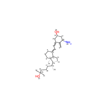 C=C1/C(=C\C=C2/CCC[C@@]3(C)C2CC[C@@H]3[C@H](C)CCCC(C)(C)O)C[C@@H](O)CC1N